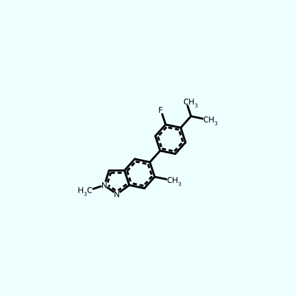 Cc1cc2nn(C)cc2cc1-c1ccc(C(C)C)c(F)c1